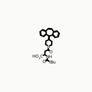 CC(C)(C)C(=O)NC(CC(=O)N1CCC(=C2c3ccccc3C=Cc3ccccc32)CC1)C(=O)O